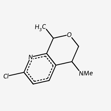 CNC1COC(C)c2nc(Cl)ccc21